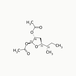 CC[C@H](C)[C@@H]1C[C@@H](OC(C)=O)[C@H](OC(C)=O)O1